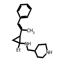 CCC1(NCC2CCNCC2)CC1/C(C)=C/c1ccccc1